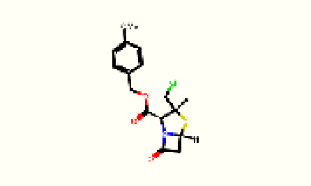 COc1ccc(COC(=O)[C@@H]2N3C(=O)C[C@H]3S[C@@]2(C)CCl)cc1